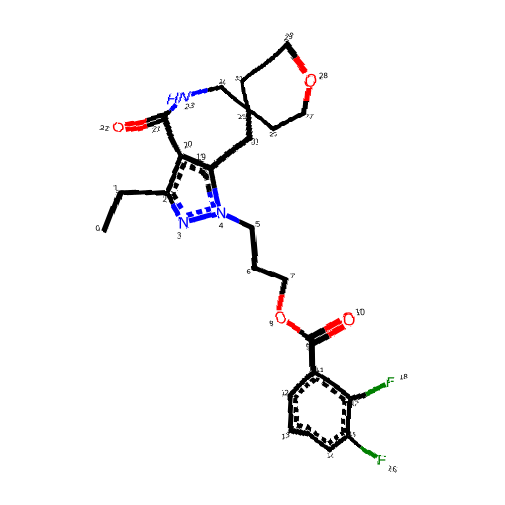 CCc1nn(CCCOC(=O)c2cccc(F)c2F)c2c1C(=O)NCC1(CCOCC1)C2